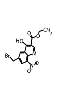 CCOC(=O)c1cnc2c([N+](=O)[O-])cc(CBr)cc2c1O